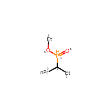 CCCC(CC)[PH](=O)OCC